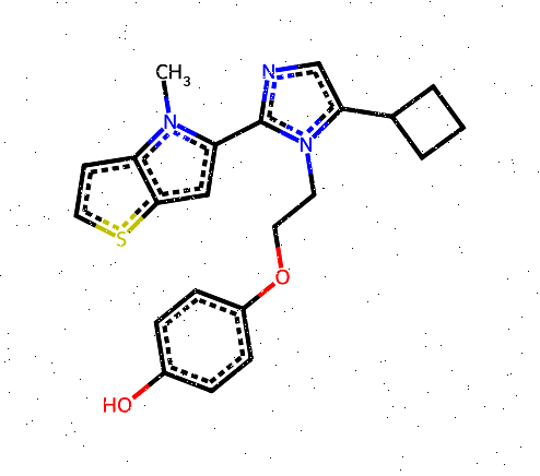 Cn1c(-c2ncc(C3CCC3)n2CCOc2ccc(O)cc2)cc2sccc21